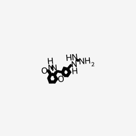 N=C(N)NCc1ccc2c(c1)-c1n[nH]c(=O)c3cccc(c13)O2